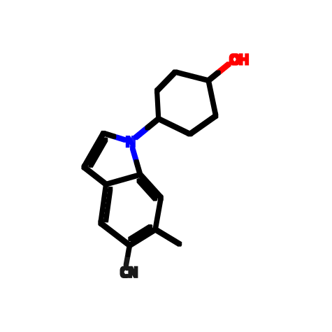 Cc1cc2c(ccn2C2CCC(O)CC2)cc1C#N